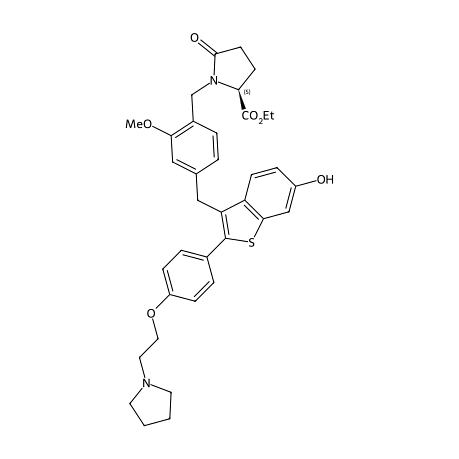 CCOC(=O)[C@@H]1CCC(=O)N1Cc1ccc(Cc2c(-c3ccc(OCCN4CCCC4)cc3)sc3cc(O)ccc23)cc1OC